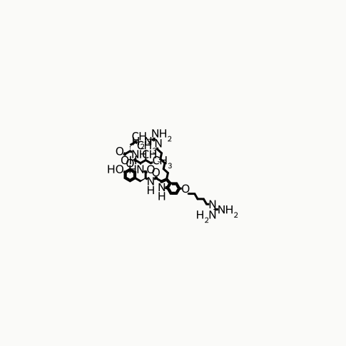 CC[C@H](C)[C@H](NC(=O)[C@H](Cc1ccc(O)cc1)NC(=O)c1[nH]c2ccc(OCCCCCN=C(N)N)cc2c1CCCCCCN=C(N)N)C(=O)N[C@@H](CC(C)C)C(=O)O